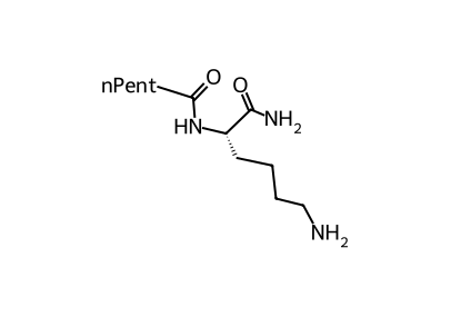 CCCCCC(=O)N[C@@H](CCCCN)C(N)=O